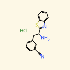 Cl.N#Cc1cccc(C[C@H](N)c2nc3ccccc3s2)c1